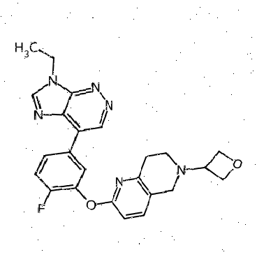 CCn1cnc2c(-c3ccc(F)c(Oc4ccc5c(n4)CCN(C4COC4)C5)c3)cnnc21